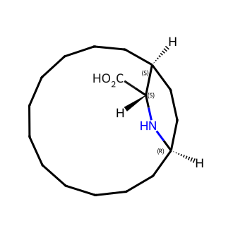 O=C(O)[C@H]1N[C@@H]2CCCCCCCCCCC[C@H]1CC2